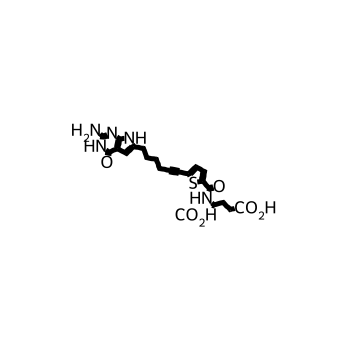 Nc1nc2[nH]c(CCCCC#Cc3ccc(C(=O)N[C@@H](CCC(=O)O)C(=O)O)s3)cc2c(=O)[nH]1